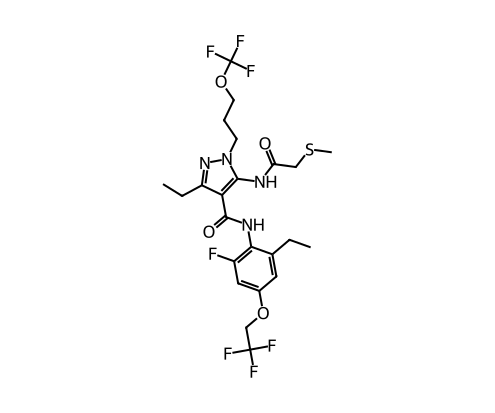 CCc1cc(OCC(F)(F)F)cc(F)c1NC(=O)c1c(CC)nn(CCCOC(F)(F)F)c1NC(=O)CSC